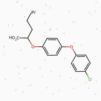 CC(C)CCC(Oc1ccc(Oc2ccc(Cl)cc2)cc1)C(=O)O